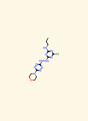 CCCNc1nc(Cl)nc(NNc2nnc(N3CCOCC3)nn2)n1